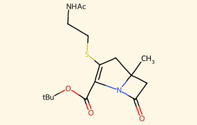 CC(=O)NCCSC1=C(C(=O)OC(C)(C)C)N2C(=O)CC2(C)C1